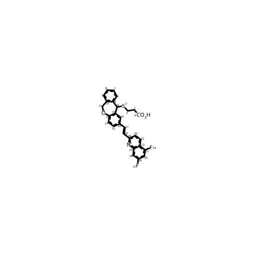 O=C(O)CCSC1c2ccccc2COc2ccc(/C=C/c3ccc4c(F)cc(F)cc4n3)cc21